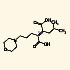 CC(C)C/C(C(=O)O)=C(/CCCN1CCOCC1)C(=O)O